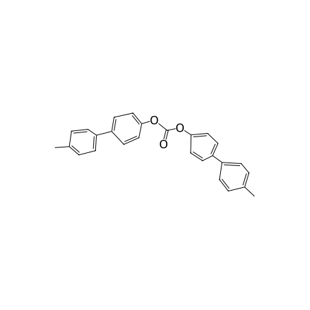 Cc1ccc(-c2ccc(OC(=O)Oc3ccc(-c4ccc(C)cc4)cc3)cc2)cc1